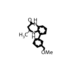 COCc1cccc(-c2cccc3c2N[C@H](C)CC(=O)N3)c1